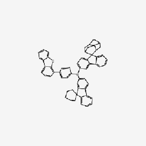 c1ccc2c(c1)-c1ccc(N(c3ccc(-c4cccc5c4oc4ccccc45)cc3)c3ccc4c(c3)-c3ccccc3C43C4CC5CC(C4)CC3C5)cc1C21CCCCC1